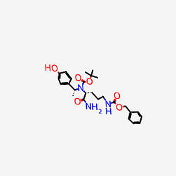 C[C@H](c1ccc(O)cc1)N(C(=O)OC(C)(C)C)[C@H](CCCNC(=O)OCc1ccccc1)C(N)=O